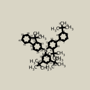 CC(C)(C)c1cccc(-c2ccc(N(c3cc(C(C)(C)C)cc(C(C)(C)C)c3)c3ccc4c(c3)C(C)(C)c3ccccc3-4)c(C(C)(C)C)c2)c1